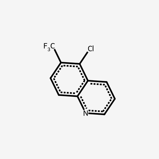 FC(F)(F)c1ccc2ncccc2c1Cl